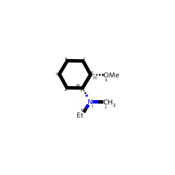 CCN(C)[C@@H]1CCCC[C@@H]1OC